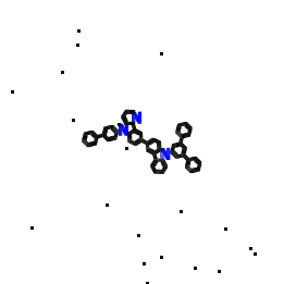 c1ccc(-c2ccc(-n3c4ccc(-c5ccc6c(c5)c5ccccc5n6-c5cc(-c6ccccc6)cc(-c6ccccc6)c5)cc4c4ncccc43)cc2)cc1